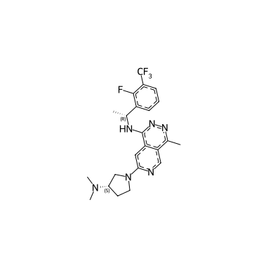 Cc1nnc(N[C@H](C)c2cccc(C(F)(F)F)c2F)c2cc(N3CC[C@H](N(C)C)C3)ncc12